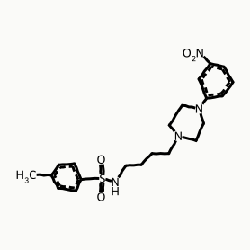 Cc1ccc(S(=O)(=O)NCCCCN2CCN(c3cccc([N+](=O)[O-])c3)CC2)cc1